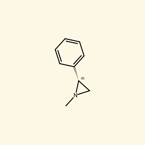 CN1C[C@H]1c1ccccc1